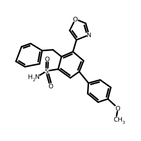 COc1ccc(-c2cc(-c3cocn3)c(Cc3ccccc3)c(S(N)(=O)=O)c2)cc1